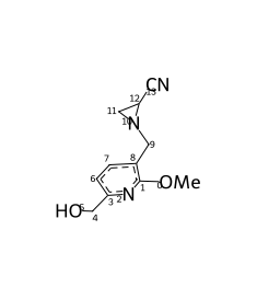 COc1nc(CO)ccc1CN1CC1C#N